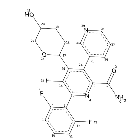 NC(=O)c1nc(-c2c(F)cccc2F)c(F)c(C2CCC(O)CO2)c1-c1cccnc1